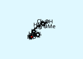 COc1cc(NC(=O)CCCc2cccc(C3(C(=O)O[C@H]4CN5CCC4CC5)CCCCC3)c2)c(Cl)cc1CO